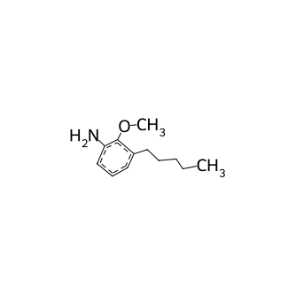 CCCCCc1cccc(N)c1OC